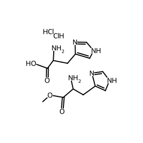 COC(=O)C(N)Cc1c[nH]cn1.Cl.Cl.NC(Cc1c[nH]cn1)C(=O)O